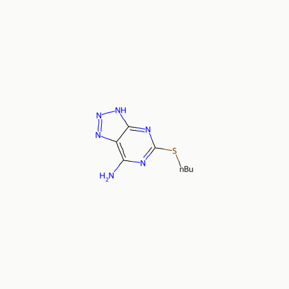 CCCCSc1nc(N)c2nn[nH]c2n1